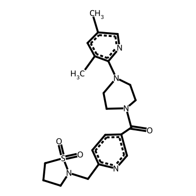 Cc1cnc(N2CCN(C(=O)c3ccc(CN4CCCS4(=O)=O)nc3)CC2)c(C)c1